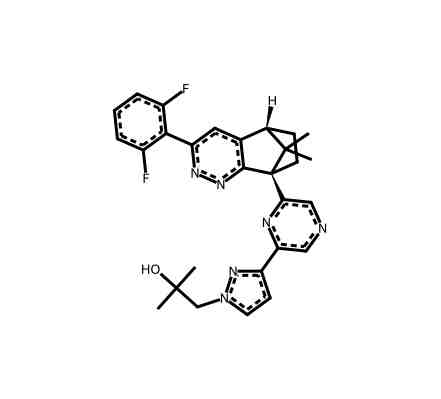 CC(C)(O)Cn1ccc(-c2cncc([C@@]34CC[C@@H](c5cc(-c6c(F)cccc6F)nnc53)C4(C)C)n2)n1